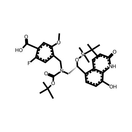 COc1cc(C(=O)O)c(F)cc1CN(C[C@H](O[Si](C)(C)C(C)(C)C)c1ccc(O)c2[nH]c(=O)ccc12)C(=O)OC(C)(C)C